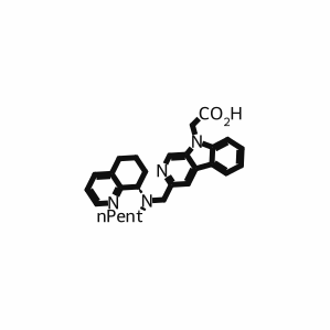 CCCCCN(Cc1cc2c3ccccc3n(CC(=O)O)c2cn1)[C@H]1CCCc2cccnc21